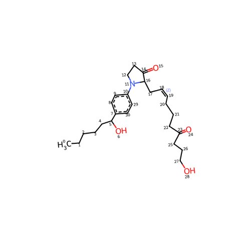 CCCCCC(O)c1ccc(N2CCC(=O)C2C/C=C\CCCC(=O)CCCO)cc1